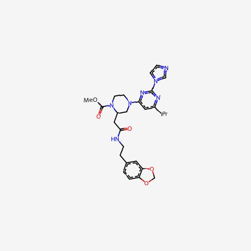 COC(=O)N1CCN(c2cc(C(C)C)nc(-n3ccnc3)n2)CC1CC(=O)NCCc1ccc2c(c1)OCO2